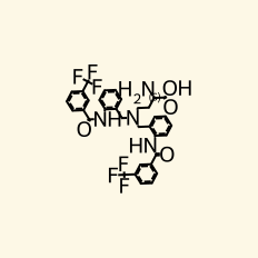 N[C@@H](CCN(Cc1ccccc1NC(=O)c1cccc(C(F)(F)F)c1)Cc1ccccc1NC(=O)c1cccc(C(F)(F)F)c1)C(=O)O